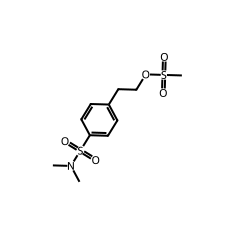 CN(C)S(=O)(=O)c1ccc(CCOS(C)(=O)=O)cc1